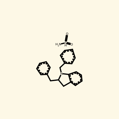 N[SH](=O)=O.c1ccc(CC2Cc3ccccc3N2Cc2ccccc2)cc1